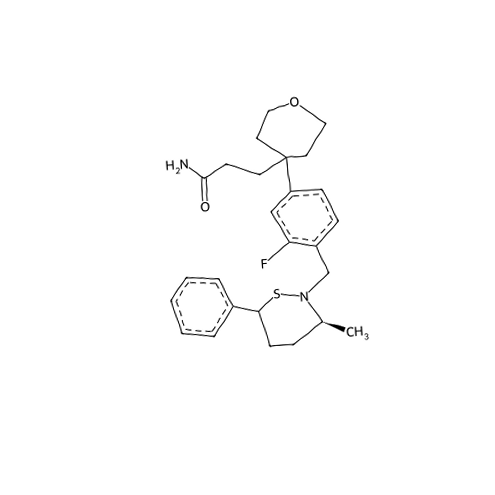 C[C@H]1CCC(c2ccccc2)SN1Cc1ccc(C2(CCC(N)=O)CCOCC2)cc1F